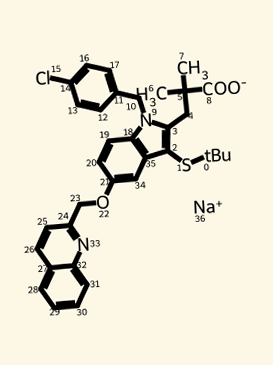 CC(C)(C)Sc1c(CC(C)(C)C(=O)[O-])n(Cc2ccc(Cl)cc2)c2ccc(OCc3ccc4ccccc4n3)cc12.[Na+]